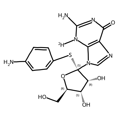 [2H]n1c(N)nc(=O)c2ncn([C@]3(Sc4ccc(N)cc4)O[C@H](CO)[C@@H](O)[C@H]3O)c21